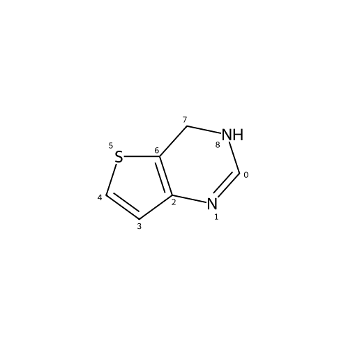 C1=Nc2ccsc2CN1